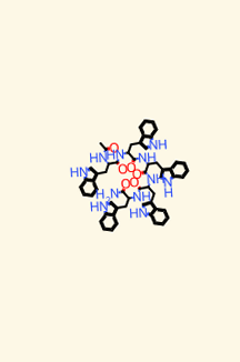 CC(=O)NC(Cc1c[nH]c2ccccc12)C(=O)NC(Cc1c[nH]c2ccccc12)C(=O)NC(Cc1c[nH]c2ccccc12)C(=O)NC(Cc1c[nH]c2ccccc12)C(=O)NC(Cc1c[nH]c2ccccc12)C(N)=O